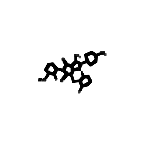 COc1cccc(-n2c(=O)c3c(C)n(-c4ccc([N+](=O)[O-])cc4)nc3n(Cc3c(F)cccc3F)c2=O)c1F